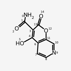 NC(=O)c1c(O)c2ccncc2oc1=O